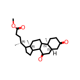 COC(=O)CC[C@@H](C)C1CCC2C3C(=O)C[C@@H]4CC(=O)CC[C@]4(C)C3CC[C@@]21C